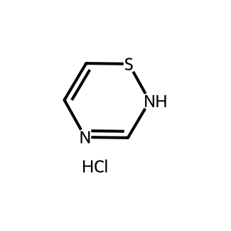 C1=CSNC=N1.Cl